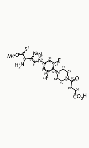 COC(=S)C(N)c1cn(-c2cc(F)c(N3CCN(C(=O)CCC(=O)O)CC3)c(F)c2)nn1